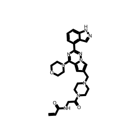 C=CC(=O)NCC(=O)N1CCN(Cc2cc3c(N4CCOCC4)nc(-c4cccc5[nH]ncc45)nn3c2)CC1